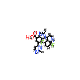 Cc1nccc(-c2cc(C(=O)O)c3nc(C)n(-c4ccnc5c(F)ccc(F)c45)c3c2)n1